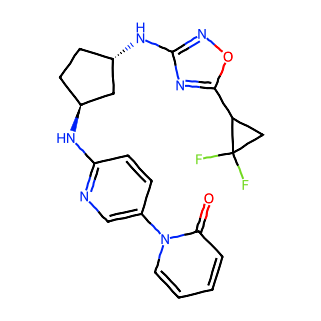 O=c1ccccn1-c1ccc(N[C@H]2CC[C@H](Nc3noc(C4CC4(F)F)n3)C2)nc1